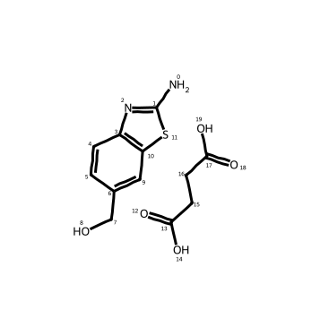 Nc1nc2ccc(CO)cc2s1.O=C(O)CCC(=O)O